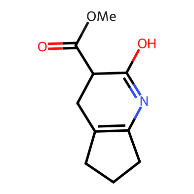 COC(=O)C1CC2=C(CCC2)N=C1O